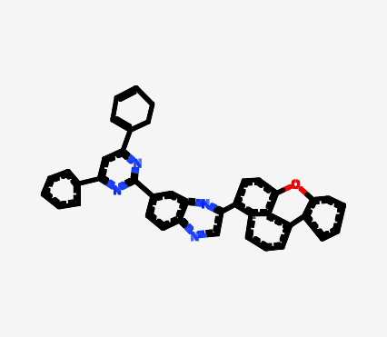 C1=CCCC(c2cc(-c3ccccc3)nc(-c3ccc4ncc(-c5ccc6c7c(cccc57)-c5ccccc5O6)nc4c3)n2)=C1